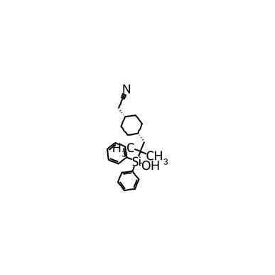 CC(C)(C[C@H]1CC[C@@H](CC#N)CC1)[Si](O)(c1ccccc1)c1ccccc1